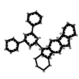 c1ccc(-c2nc(-c3ccccc3)nc(-n3c4c(c5cc6sc7ccccc7c6cc53)CCCC4)n2)cc1